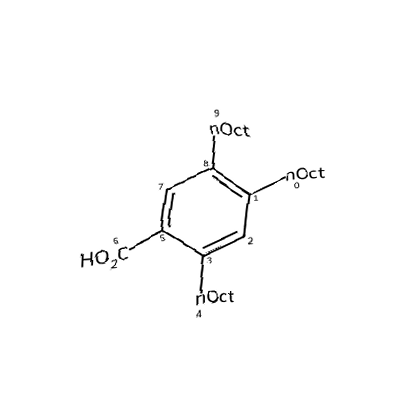 CCCCCCCCc1cc(CCCCCCCC)c(C(=O)O)cc1CCCCCCCC